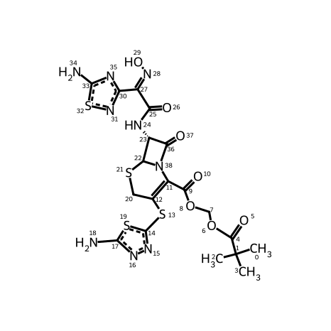 CC(C)(C)C(=O)OCOC(=O)C1=C(Sc2nnc(N)s2)CSC2[C@H](NC(=O)/C(=N/O)c3nsc(N)n3)C(=O)N12